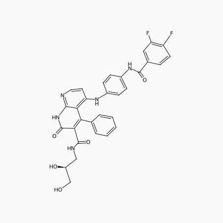 O=C(Nc1ccc(Nc2ccnc3[nH]c(=O)c(C(=O)NC[C@H](O)CO)c(-c4ccccc4)c23)cc1)c1ccc(F)c(F)c1